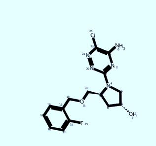 Nc1nc(N2C[C@H](O)C[C@H]2COCc2ccccc2F)nnc1Cl